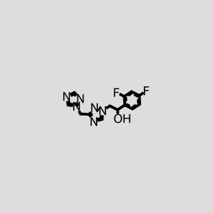 OC(Cn1cnc(Cn2cncn2)n1)c1ccc(F)cc1F